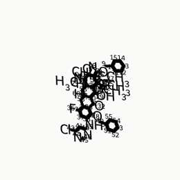 CN(C)[C@@H]1c2onc(OCc3ccccc3)c2C(=O)[C@@]2(O[Si](C)(C)C(C)(C)C)C(O)=C3C(=O)c4c(c(F)cc(Nc5cc(Cl)ncn5)c4OCc4ccccc4)C[C@H]3C[C@@H]12